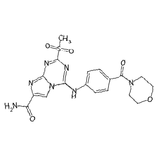 CS(=O)(=O)c1nc(Nc2ccc(C(=O)N3CCOCC3)cc2)n2cc(C(N)=O)nc2n1